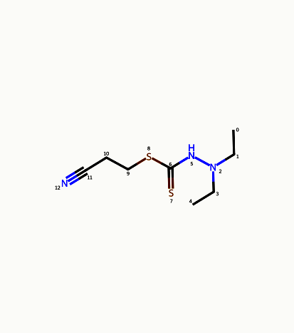 CCN(CC)NC(=S)SCCC#N